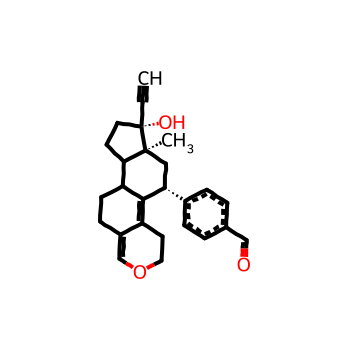 C#C[C@]1(O)CCC2C3CCC4=COCCC4=C3[C@@H](c3ccc(C=O)cc3)C[C@@]21C